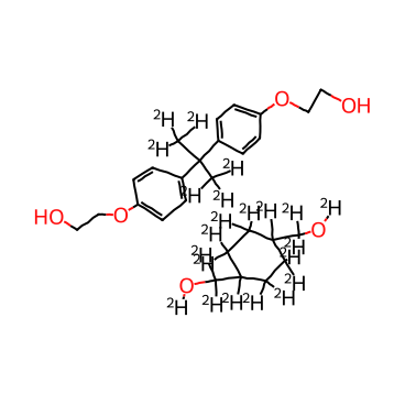 [2H]C([2H])([2H])C(c1ccc(OCCO)cc1)(c1ccc(OCCO)cc1)C([2H])([2H])[2H].[2H]OC([2H])([2H])C1([2H])C([2H])([2H])C([2H])([2H])C([2H])(C([2H])([2H])O[2H])C([2H])([2H])C1([2H])[2H]